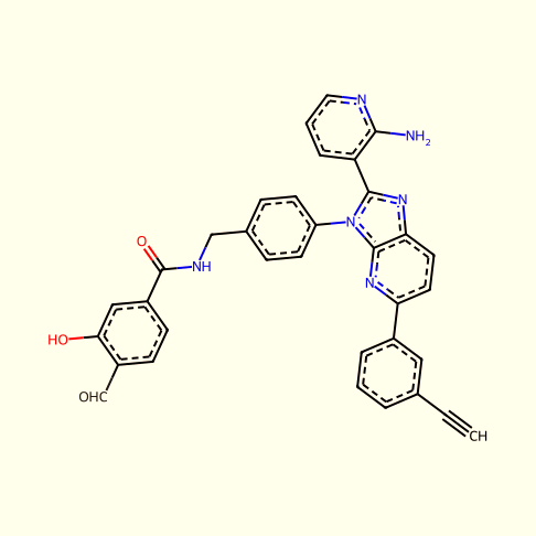 C#Cc1cccc(-c2ccc3nc(-c4cccnc4N)n(-c4ccc(CNC(=O)c5ccc(C=O)c(O)c5)cc4)c3n2)c1